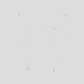 CC(C)(O)CCI.OCCCI